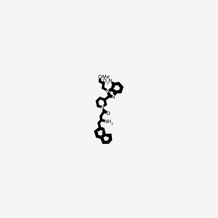 COCCCn1c(C2CCCN(C(=O)CC(N)Cc3ccc4ccccc4c3)C2)nc2cccc([N+](=O)[O-])c21